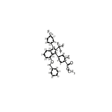 COC(=O)c1ccc(-c2c(C(F)(F)F)n(-c3ccc(F)cc3)c3cccc(OCc4ccccc4)c23)cc1F